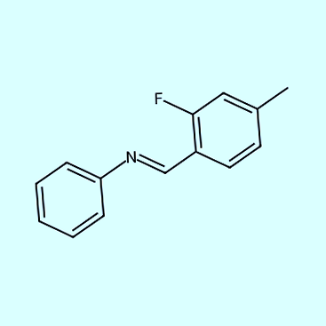 Cc1ccc(C=Nc2ccccc2)c(F)c1